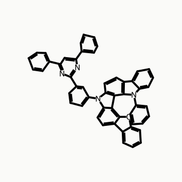 c1ccc(-c2cc(-c3ccccc3)nc(-c3cccc(-n4c5ccc6c7ccccc7oc6c5c5c4ccc4c6ccccc6n(-c6ccccc6)c45)c3)n2)cc1